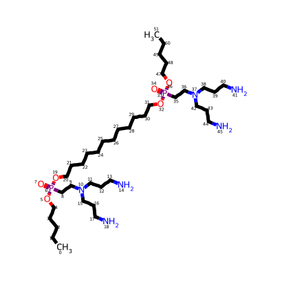 CCCCCOP(=O)(CCN(CCCN)CCCN)OCCCCCCCCCCCCOP(=O)(CCN(CCCN)CCCN)OCCCCC